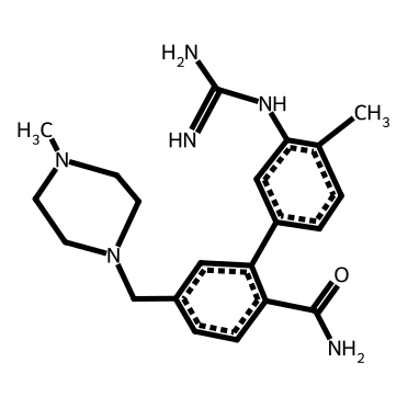 Cc1ccc(-c2cc(CN3CCN(C)CC3)ccc2C(N)=O)cc1NC(=N)N